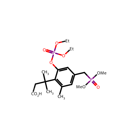 CCOP(=O)(OCC)Oc1cc(CP(=O)(OC)OC)cc(C)c1C(C)(C)CC(=O)O